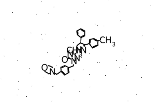 Cc1ccc(C2=NN(c3nn(Cc4ccc(CN5CCOCC5)cc4)c(=O)n3C)C[C@H]2c2ccccc2)cc1